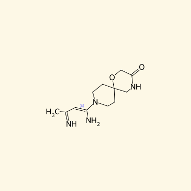 CC(=N)/C=C(\N)N1CCC2(CC1)CNC(=O)CO2